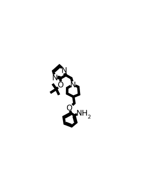 CC(C)(C)Oc1nccnc1CN1CCC(COc2ccccc2N)CC1